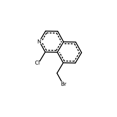 Clc1nccc2cccc(CBr)c12